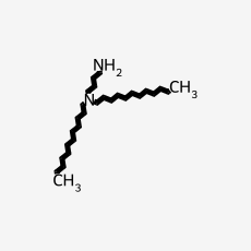 CCCCCCCCCCCCN(CCCCN)CCCCCCCCCCCC